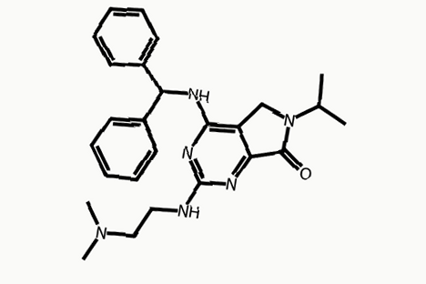 CC(C)N1Cc2c(NC(c3ccccc3)c3ccccc3)nc(NCCN(C)C)nc2C1=O